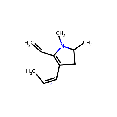 C=CC1=C(/C=C\C)CC(C)N1C